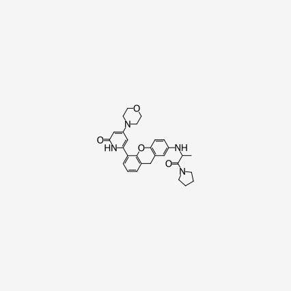 CC(Nc1ccc2c(c1)Cc1cccc(-c3cc(N4CCOCC4)cc(=O)[nH]3)c1O2)C(=O)N1CCCC1